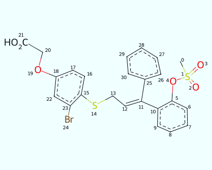 CS(=O)(=O)Oc1ccccc1C(=CCSc1ccc(OCC(=O)O)cc1Br)c1ccccc1